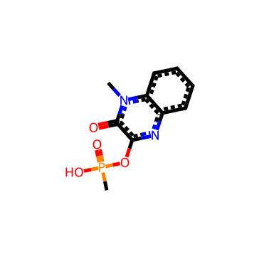 Cn1c(=O)c(OP(C)(=O)O)nc2ccccc21